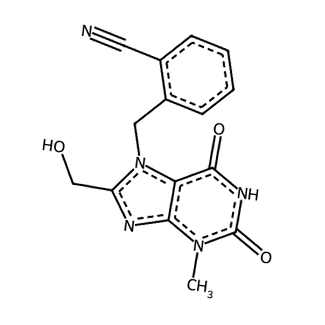 Cn1c(=O)[nH]c(=O)c2c1nc(CO)n2Cc1ccccc1C#N